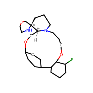 FC1CCCC2C3CCC(CC3)OC[C@@H]3N(CCCOC12)CCC[C@@]31COCCN1